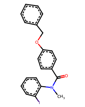 CN(C(=O)c1ccc(OCc2ccccc2)cc1)c1ccccc1I